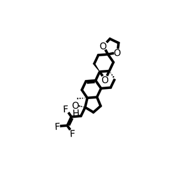 C[C@]12CC=C3C(CC[C@@]45CC6(CC[C@@]34O5)OCCO6)C1CC[C@@]2(O)CC(F)=C(F)F